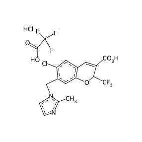 Cc1nccn1Cc1cc2c(cc1Cl)C=C(C(=O)O)C(C(F)(F)F)O2.Cl.O=C(O)C(F)(F)F